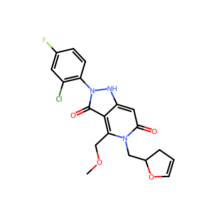 COCc1c2c(=O)n(-c3ccc(F)cc3Cl)[nH]c2cc(=O)n1CC1CC=CO1